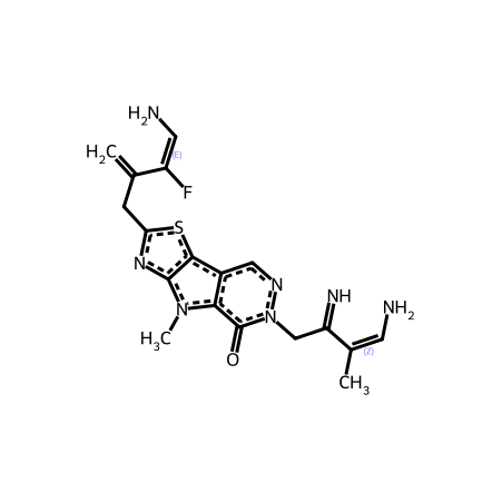 C=C(Cc1nc2c(s1)c1cnn(CC(=N)/C(C)=C\N)c(=O)c1n2C)/C(F)=C\N